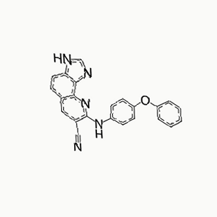 N#Cc1cc2ccc3[nH]cnc3c2nc1Nc1ccc(Oc2ccccc2)cc1